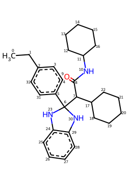 CCc1ccc(C2(C(C(=O)NC3CCCCC3)C3CCCCC3)Nc3ccccc3N2)cc1